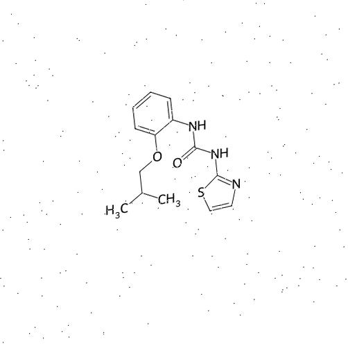 CC(C)COc1ccccc1NC(=O)Nc1nccs1